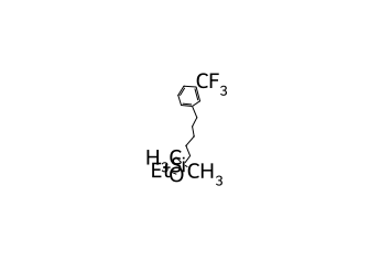 CCO[Si](C)(C)CCCCCc1cccc(C(F)(F)F)c1